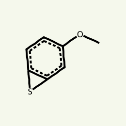 COc1ccc2c(c1)S2